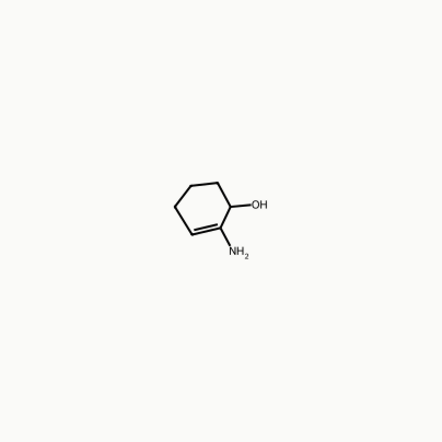 NC1=CCCCC1O